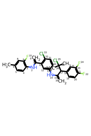 C=C(Nc1ccc(C)cc1F)c1cc(NC(=C)C(c2ccc(F)c(F)c2)C(C)(C)Cl)ccc1Cl